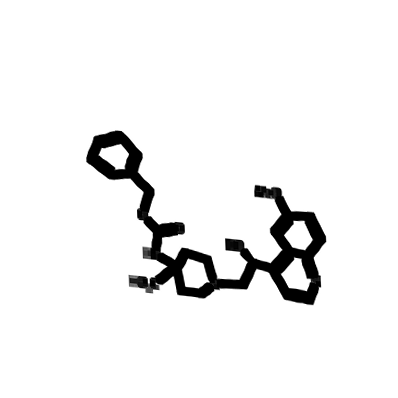 COc1ccc2nccc([C@H](O)CN3CCC(NC(=O)OCc4ccccc4)(C(=O)O)CC3)c2c1